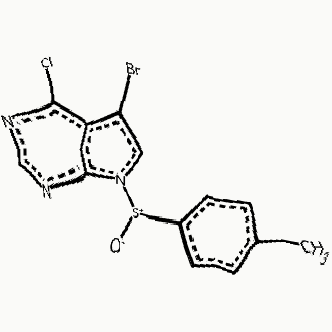 Cc1ccc([S+]([O-])n2cc(Br)c3c(Cl)ncnc32)cc1